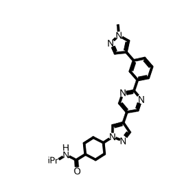 CC(C)NC(=O)C1CCC(n2cc(-c3cnc(-c4cccc(-c5cnn(C)c5)c4)nc3)cn2)CC1